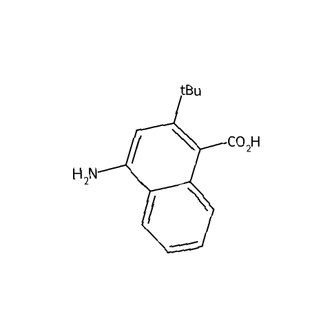 CC(C)(C)c1cc(N)c2ccccc2c1C(=O)O